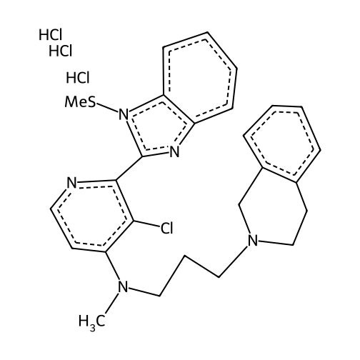 CSn1c(-c2nccc(N(C)CCCN3CCc4ccccc4C3)c2Cl)nc2ccccc21.Cl.Cl.Cl